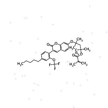 C=C(C)C(=O)OC(C)(C)CC(C)(C)Oc1ccc2cc(-c3ccc(CCCCC)cc3OC(F)(F)F)c(=O)oc2c1